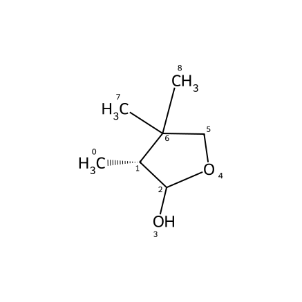 C[C@H]1C(O)OCC1(C)C